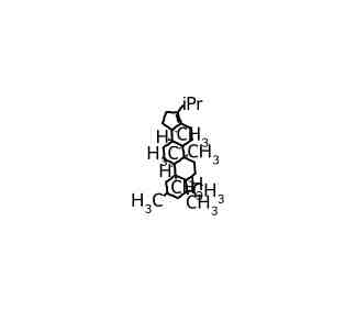 CC1CC(C)(C)[C@@H]2CC[C@]3(C)[C@H](CC[C@@H]4[C@@]5(C)CCC(C(C)C)=C5CC[C@]43C)[C@@]2(C)C1